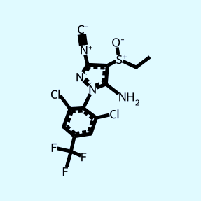 [C-]#[N+]c1nn(-c2c(Cl)cc(C(F)(F)F)cc2Cl)c(N)c1[S+]([O-])CC